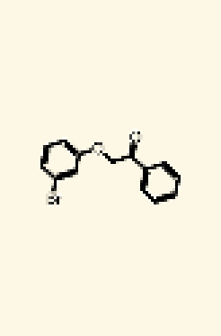 O=C(COc1cccc(Br)c1)c1ccccc1